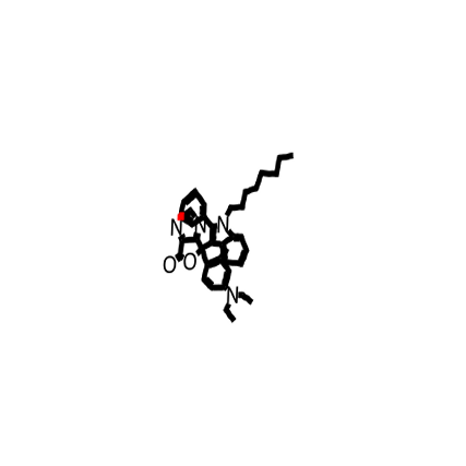 CCCCCCCCn1c(-c2ccccc2)c(C2(c3ccc(N(CC)CC)cc3C)OC(=O)c3nccnc32)c2ccccc21